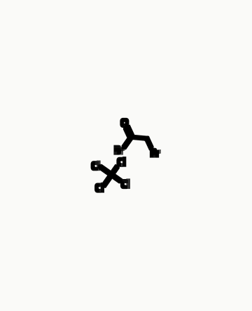 ClC(Cl)(Cl)Cl.O=C(Br)CBr